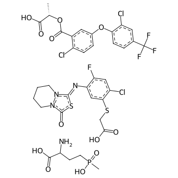 CP(=O)(O)CCC(N)C(=O)O.C[C@H](OC(=O)c1cc(Oc2ccc(C(F)(F)F)cc2Cl)ccc1Cl)C(=O)O.O=C(O)CSc1cc(N=c2sc(=O)n3n2CCCC3)c(F)cc1Cl